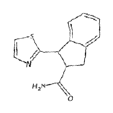 NC(=O)C1Cc2ccccc2C1c1nccs1